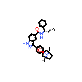 CC(C)C[C@H](NC(=O)c1ccc2[nH]nc(-c3ccc(N4[C@@H]5CC[C@H]4C[C@H](O)C5)cc3)c2c1)c1ccccc1